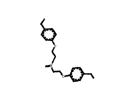 CCc1ccc(OCCN(C)CCOc2ccc(CC)cc2)cc1